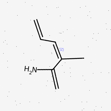 C=C/C=C(/C)C(=C)N